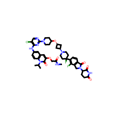 CNC(=O)COc1cc2cc(Nc3nc(N4CCC(O[C@H]5C[C@H](N6CCC(F)(c7ccc8c(c7F)CN(C7CCC(=O)NC7=O)C8=O)CC6)C5)CC4)ncc3Cl)ccc2n(C(C)C)c1=O